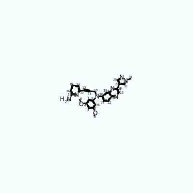 COc1cc(OC)cc(N(CC#Cc2cccc(N)n2)c2ccc3ncc(-c4cnn(C)c4)nc3c2)c1